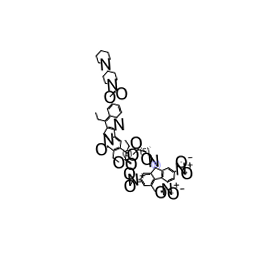 CCc1c2c(nc3ccc(OC(=O)N4CCC(N5CCCCC5)CC4)cc13)-c1cc3c(c(=O)n1C2)COC(=O)[C@@]3(CC)OC(=O)[C@H](C)O/N=C1\c2cc([N+](=O)[O-])cc(C)c2-c2c1cc([N+](=O)[O-])cc2[N+](=O)[O-]